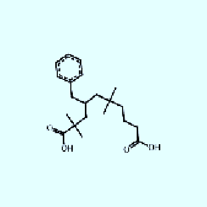 CC(C)(CCCC(=O)O)CC(Cc1ccccc1)CC(C)(C)C(=O)O